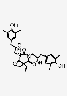 CCC1(CC)C(=O)N(CC(O)Cc2cc(C)c(O)c(C)c2)C(=O)N(CC(O)Cc2cc(C)c(O)c(C)c2)C1=O